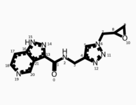 O=C(NCc1cn(CC2CO2)nn1)c1n[nH]c2ccncc12